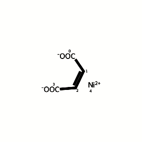 O=C([O-])/C=C\C(=O)[O-].[Ni+2]